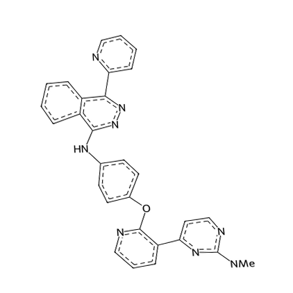 CNc1nccc(-c2cccnc2Oc2ccc(Nc3nnc(-c4ccccn4)c4ccccc34)cc2)n1